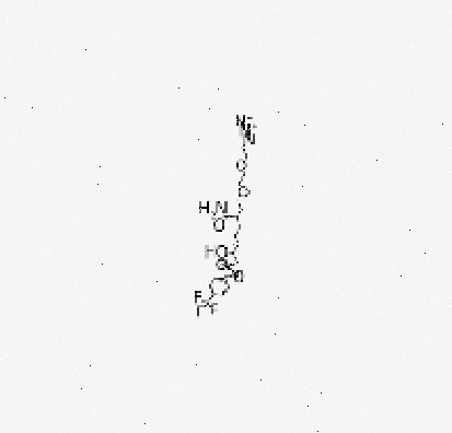 [N-]=[N+]=NCCOCCOCCC(CCCC(O)CS(=O)(=O)c1ccc(C(F)(F)F)cc1)C(N)=O